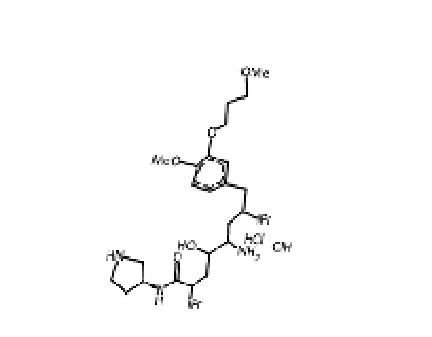 COCCCOc1cc(CC(CC(N)C(O)CC(C(=O)N[C@H]2CCNC2)C(C)C)C(C)C)ccc1OC.Cl.Cl